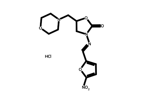 Cl.O=C1OC(CN2CCOCC2)CN1N=Cc1ccc([N+](=O)[O-])o1